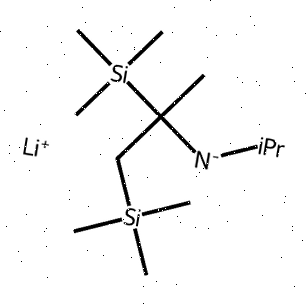 CC(C)[N-]C(C)(C[Si](C)(C)C)[Si](C)(C)C.[Li+]